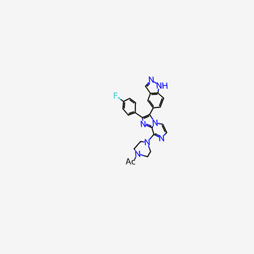 CC(=O)N1CCN(c2nccn3c(-c4ccc5[nH]ncc5c4)c(-c4ccc(F)cc4)nc23)CC1